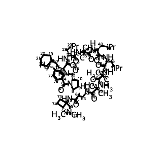 Cc1ccc(C(=O)N2CCC[C@H]2C(=O)N[C@@H](CCC2CCCCC2)C(=O)N[C@@H](CC(C)C)C(=O)NC(C)(C)C(=O)N[C@@H](CC(C)C)C(=O)N[C@@H](CC(C)C)C(=O)NC(C)(C)C(=O)NC(C)(C)C(=O)NCCC(=O)NC2(CN(C)C)CCC2)cc1